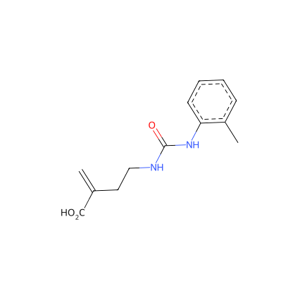 C=C(CCNC(=O)Nc1ccccc1C)C(=O)O